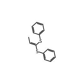 CC=C(Sc1ccccc1)Sc1ccccc1